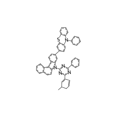 CC1C=C(c2nc(-c3ccccc3)nc(-n3c4cc(-c5ccc6c(c5)Sc5ccccc5N6c5ccccc5)ccc4c4c5ccccc5ccc43)n2)C=CC1